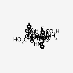 Cc1ccc(S(=O)(=O)N[C@@H](CC(=O)O)C(=O)N[C@@H](CCC(=O)O)C(=O)NCC(=O)N[C@@H](Cc2cccc(F)c2)C(=O)N[C@@H](Cc2c[nH]c3ccccc23)C(=O)N[C@@H](CCC(=O)O)C(N)=O)cc1